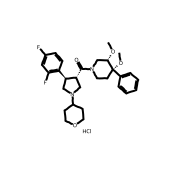 CO[C@H]1CN(C(=O)[C@@H]2CN(C3CCOCC3)C[C@H]2c2ccc(F)cc2F)CC[C@]1(OC)c1ccccc1.Cl